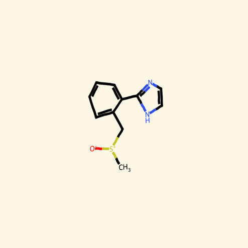 C[S+]([O-])Cc1ccccc1-c1ncc[nH]1